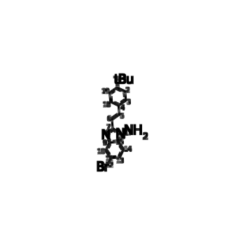 CC(C)(C)c1ccc(/C=C/c2nc3cc(Br)ccc3n2N)cc1